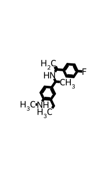 C=C(NC(C)c1ccc(NC)c(CC)c1)c1ccc(F)cc1